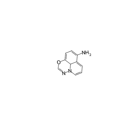 NC1=CC=C2OC=NN3C=CC=C1C23